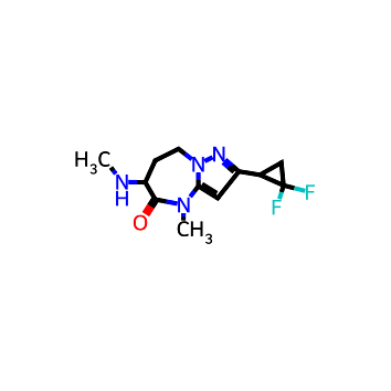 CNC1CCn2nc(C3CC3(F)F)cc2N(C)C1=O